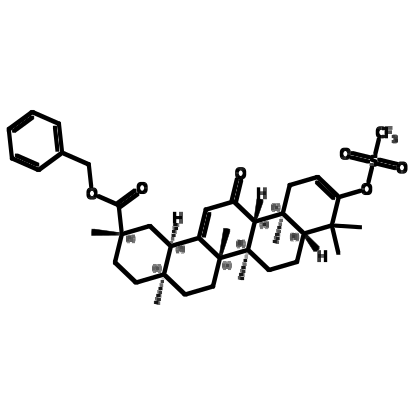 CC1(C)C(OS(=O)(=O)C(F)(F)F)=CC[C@]2(C)[C@H]3C(=O)C=C4[C@@H]5C[C@@](C)(C(=O)OCc6ccccc6)CC[C@]5(C)CC[C@@]4(C)[C@]3(C)CC[C@@H]12